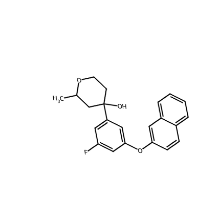 CC1CC(O)(c2cc(F)cc(Oc3ccc4ccccc4c3)c2)CCO1